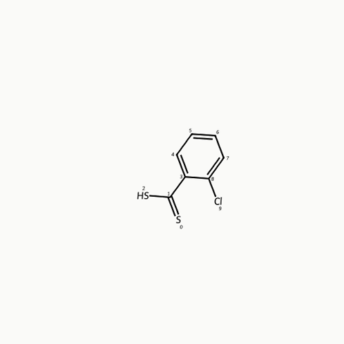 S=C(S)c1ccccc1Cl